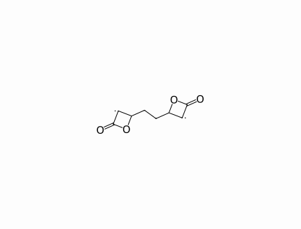 O=C1[CH]C(CCC2[CH]C(=O)O2)O1